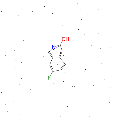 Oc1cc2ccc(F)cc2cn1